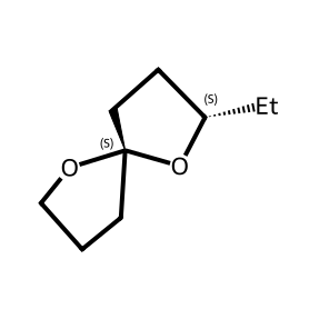 CC[C@H]1CC[C@]2(CCCO2)O1